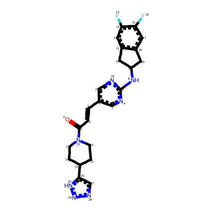 O=C(/C=C/c1cnc(NC2Cc3cc(F)c(F)cc3C2)nc1)N1CCC(c2cnn[nH]2)CC1